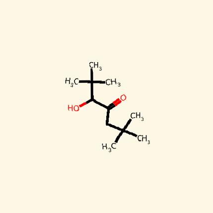 CC(C)(C)CC(=O)C(O)C(C)(C)C